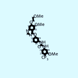 COCCOc1cc2ncnc(Oc3cccc(NC(=O)Nc4ccc(C(F)(F)F)c(OC)c4)c3)c2cc1OC